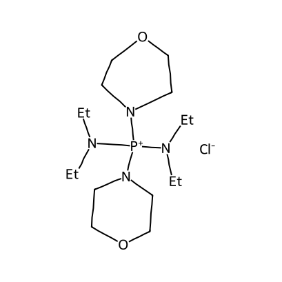 CCN(CC)[P+](N(CC)CC)(N1CCOCC1)N1CCOCC1.[Cl-]